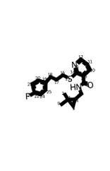 CC1(C)CC1CNC(=O)c1cccnc1SCCCc1ccc(F)cc1